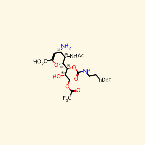 CCCCCCCCCCCCNC(=O)O[C@@H]([C@@H]1OC(C(=O)O)=C[C@H](N)[C@H]1NC(C)=O)[C@H](O)COC(=O)C(F)(F)F